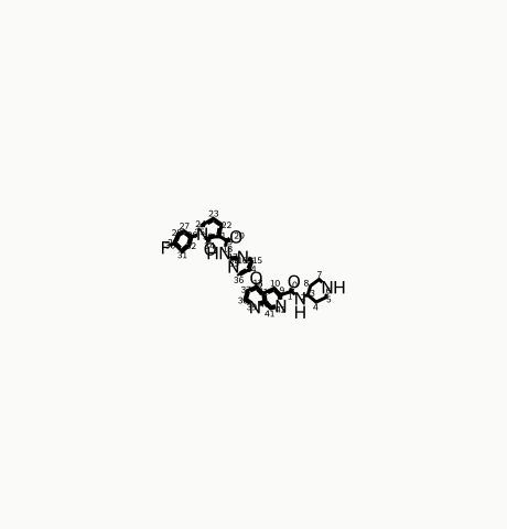 O=C(NC1CCNCC1)c1cc2c(Oc3cnc(NC(=O)c4cccn(-c5ccc(F)cc5)c4=O)nc3)ccnc2cn1